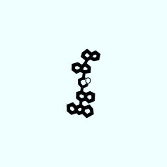 c1ccc2c(-c3ccc(C4CCC(c5ccc(-c6c7ccccc7cc7ccccc67)c6ccccc56)CO4)c4ccccc34)cccc2c1